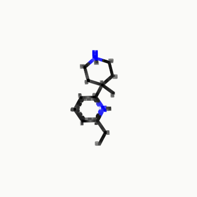 CCc1cccc(C2(C)CCNCC2)n1